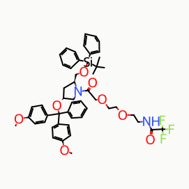 COc1ccc(C(O[C@@H]2C[C@@H](CO[Si](c3ccccc3)(c3ccccc3)C(C)(C)C)N(C(=O)COCCOCCNC(=O)C(F)(F)F)C2)(c2ccccc2)c2ccc(OC)cc2)cc1